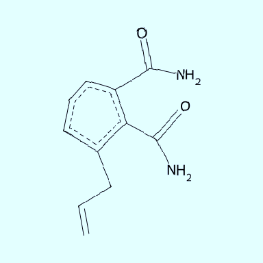 C=CCc1cccc(C(N)=O)c1C(N)=O